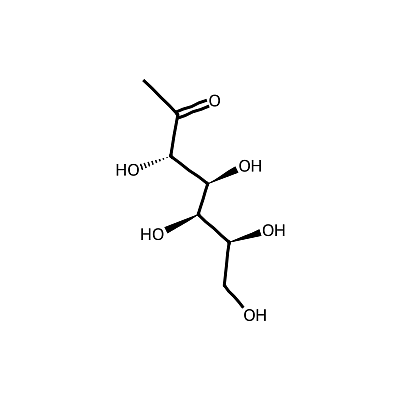 CC(=O)[C@@H](O)[C@@H](O)[C@H](O)[C@@H](O)CO